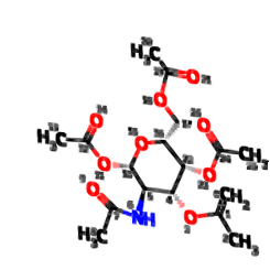 C=C(C)O[C@@H]1[C@@H](NC(C)=O)[C@H](OC(C)=O)O[C@H](COC(C)=O)[C@@H]1OC(C)=O